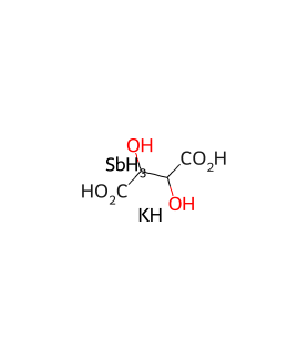 O=C(O)C(O)C(O)C(=O)O.[KH].[SbH3]